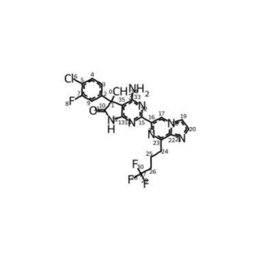 CC1(c2ccc(Cl)c(F)c2)C(=O)Nc2nc(-c3cn4ccnc4c(CCCC(F)(F)F)n3)nc(N)c21